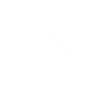 Cc1cccc(CN2CCN(c3cnn(-c4ccccc4)c(=O)c3OCc3ccccc3)CC2)c1